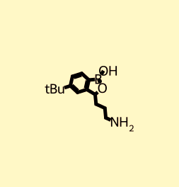 CC(C)(C)c1ccc2c(c1)C(CCCN)OB2O